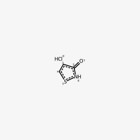 Cl.O=c1ccs[nH]1